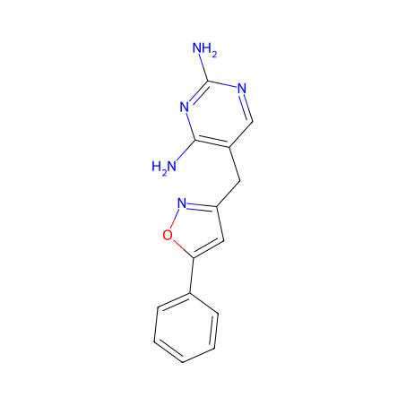 Nc1ncc(Cc2cc(-c3ccccc3)on2)c(N)n1